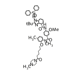 COc1cc(C(=O)N(C)c2ccc(C)cc2OCCCCCC(=O)N2CCN(C)CC2)ccc1NC(=O)c1cccc2c1nc(C(C)(C)C)n2CO[SiH](c1ccccc1)c1ccccc1